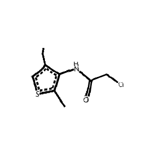 Cc1csc(C)c1NC(=O)CCl